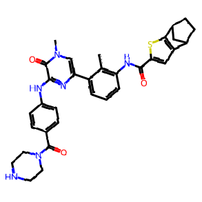 Cc1c(NC(=O)c2cc3c(s2)C2CCC3C2)cccc1-c1cn(C)c(=O)c(Nc2ccc(C(=O)N3CCNCC3)cc2)n1